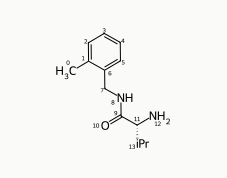 Cc1ccccc1CNC(=O)[C@H](N)C(C)C